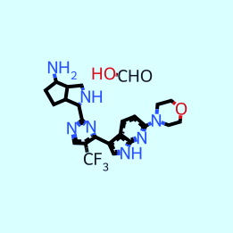 NC1CCC2C(c3ncc(C(F)(F)F)c(-c4c[nH]c5nc(N6CCOCC6)ccc45)n3)NCC12.O=CO